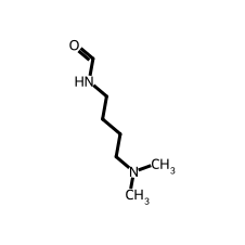 CN(C)CCCCNC=O